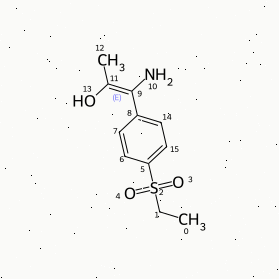 CCS(=O)(=O)c1ccc(/C(N)=C(/C)O)cc1